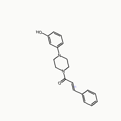 O=C(/C=C/c1ccccc1)N1CCN(c2cccc(O)c2)CC1